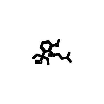 CCC(O)(CC)c1cccc(OC)c1NCCC(C)C